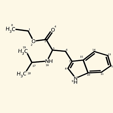 CCOC(=O)C(Cc1c[nH]c2ccccc12)NC(C)C